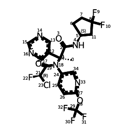 C[C@@](C(=O)N[C@H]1CCC(F)(F)C1)(c1cncnc1)N(C(=O)[C@H](F)Cl)c1ccc(OC(F)(F)F)nc1